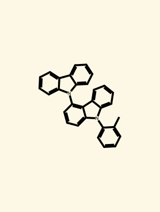 Cc1ccccc1-n1c2ccccc2c2c(-n3c4ccccc4c4ccccc43)cccc21